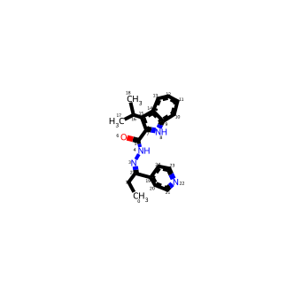 CCC(=NNC(=O)c1[nH]c2ccccc2c1C(C)C)c1ccncc1